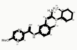 COc1cnc(C(=O)Nc2ccc(F)c(/N=C(/N)OC3=CCCC[C@@H]3C)c2)cn1